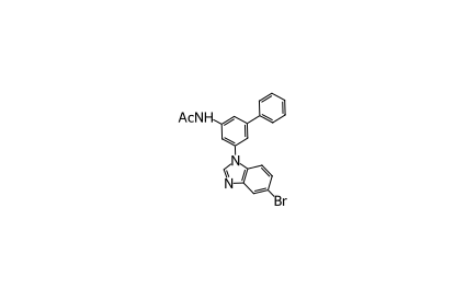 CC(=O)Nc1cc(-c2ccccc2)cc(-n2cnc3cc(Br)ccc32)c1